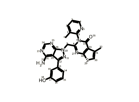 Cc1cccnc1-n1c(Cn2nc(-c3cccc(O)c3)c3c(N)ncnc32)nc2scc(C)c2c1=O